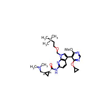 COc1ncnc(OC2CC2)c1-c1cn(COCC[Si](C)(C)C)c2nc(NC(=O)[C@@H]3C[C@H]3CN(C)C)ccc12